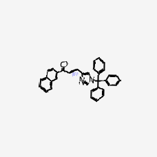 O=C(/C=C/c1cn(C(c2ccccc2)(c2ccccc2)c2ccccc2)cn1)c1ccc2ccccc2c1